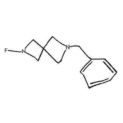 FN1CC2(C1)CN(Cc1ccccc1)C2